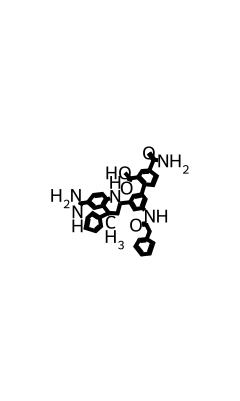 CC1(c2ccccc2)CC(c2cc(NC(=O)Cc3ccccc3)cc(-c3ccc(C(N)=O)cc3C(=O)O)c2)Nc2ccc(C(=N)N)cc21